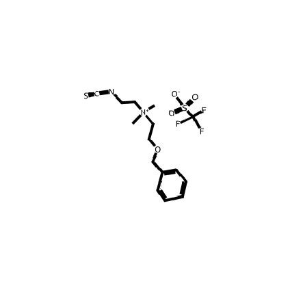 C[N+](C)(CCN=C=S)CCOCc1ccccc1.O=S(=O)([O-])C(F)(F)F